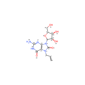 C=CCn1c(=O)n(C2OC(CO)[C@@H](O)[C@H]2O)c2nc(N)[nH]c(=O)c21